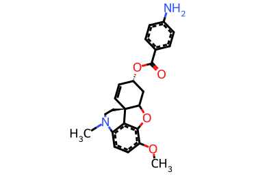 COc1ccc2c3c1OC1C[C@@H](OC(=O)c4ccc(N)cc4)C=C[C@@]31CCN2C